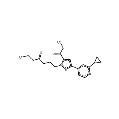 CCOC(=O)CCCn1nc(-c2ccnc(C3CC3)c2)cc1C(=O)OC